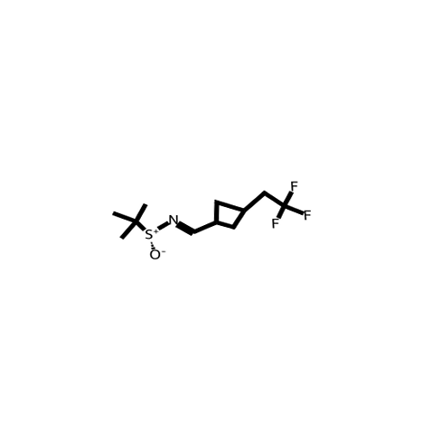 CC(C)(C)[S@@+]([O-])/N=C/C1CC(CC(F)(F)F)C1